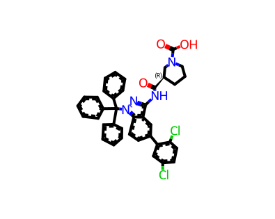 O=C(Nc1nn(C(c2ccccc2)(c2ccccc2)c2ccccc2)c2ccc(-c3cc(Cl)ccc3Cl)cc12)[C@@H]1CCCN(C(=O)O)C1